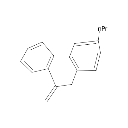 C=C(Cc1ccc(CCC)cc1)c1ccccc1